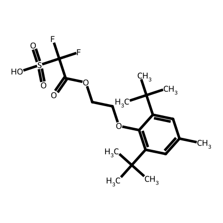 Cc1cc(C(C)(C)C)c(OCCOC(=O)C(F)(F)S(=O)(=O)O)c(C(C)(C)C)c1